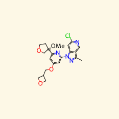 CO[C@@]1(c2cc(OCC3COC3)cc(-n3nc(C)c4cnc(Cl)cc43)n2)CCOC1